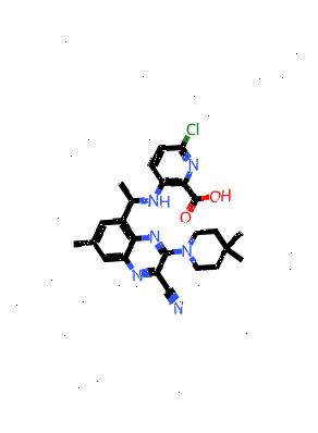 Cc1cc(C(C)Nc2ccc(Cl)nc2C(=O)O)c2nc(N3CCC(C)(C)CC3)c(C#N)nc2c1